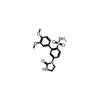 COc1ccc(-c2cc(N3CCNC3=O)ccc2S(N)(=O)=O)cc1OC